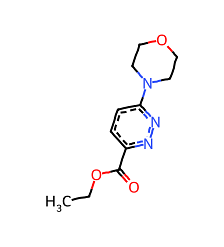 CCOC(=O)c1ccc(N2CCOCC2)nn1